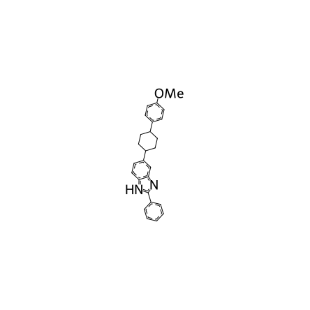 COc1ccc(C2CCC(c3ccc4[nH]c(-c5ccccc5)nc4c3)CC2)cc1